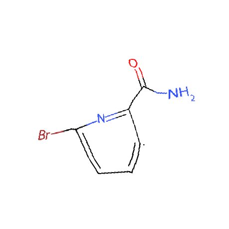 NC(=O)c1[c]ccc(Br)n1